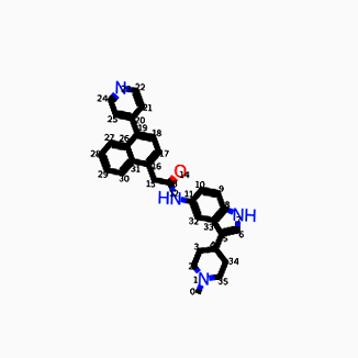 CN1CCC(c2c[nH]c3ccc(NC(=O)Cc4ccc(-c5ccncc5)c5ccccc45)cc23)CC1